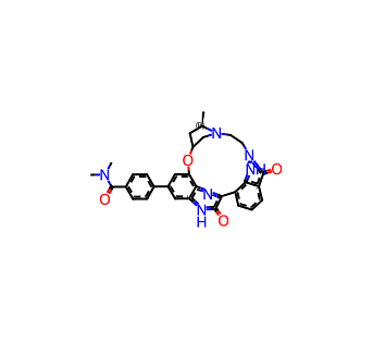 C[C@@H]1CC2CN1CCn1[nH]c3c(cccc3c1=O)-c1nc3c(cc(-c4ccc(C(=O)N(C)C)cc4)cc3[nH]c1=O)O2